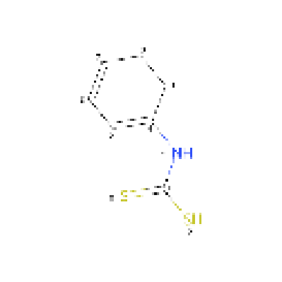 S=C(S)NC1=CC=CCC1